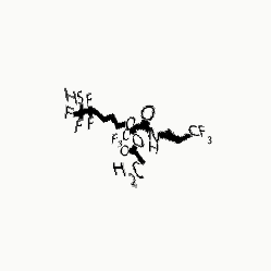 C=CC(=O)OC(OCCCCC(F)(F)C(F)(F)S)(C(=O)NCCC(F)(F)F)C(F)(F)F